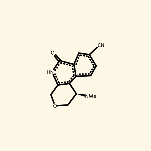 CN[C@H]1COCc2[nH]c(=O)c3cc(C#N)ccc3c21